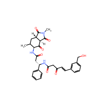 CC1C[C@@H]2C(=O)N(C)C(=O)[C@H]2C(=O)[C@H]1NC(=O)C[C@H](NC(=O)CC(=O)/C=C/c1cccc(CO)c1)c1ccccc1